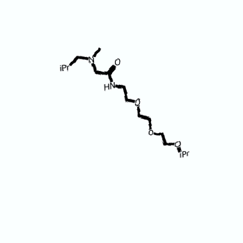 CC(C)CN(C)CC(=O)NCCOCCOCCOC(C)C